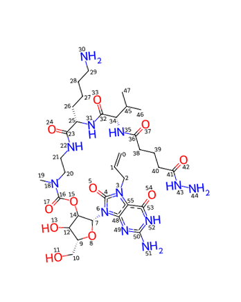 C=CCn1c(=O)n([C@@H]2O[C@H](CO)C(O)C2OC(=O)N(C)CCNC(=O)[C@H](CCCCN)NC(=O)[C@@H](NC(=O)CCCC(=O)NN)C(C)C)c2nc(N)[nH]c(=O)c21